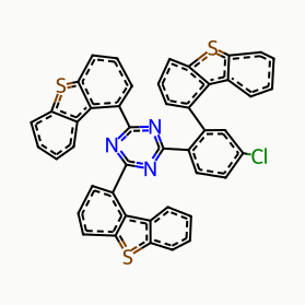 Clc1ccc(-c2nc(-c3cccc4sc5ccccc5c34)nc(-c3cccc4sc5ccccc5c34)n2)c(-c2cccc3sc4ccccc4c23)c1